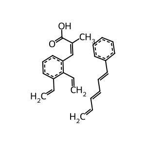 C=CC=CC=Cc1ccccc1.C=Cc1cccc(C=C(C)C(=O)O)c1C=C